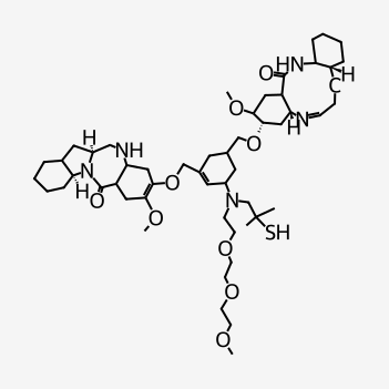 COCCOCCOCCN(CC(C)(C)S)C1C=C(COC2=C(OC)CC3C(=O)N4[C@H](CNC3C2)CC2CCCC[C@@H]24)CC(CO[C@H]2C[C@H]3/N=C\CC[C@H]4CCCCC4NC(=O)C3CC2OC)C1